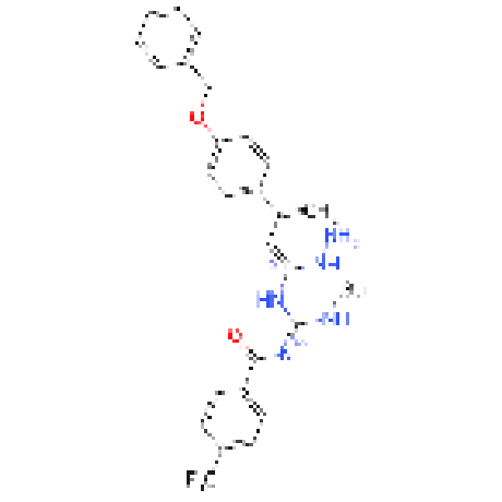 C=C(/C=C(\NN)N/C(=N\C(=O)c1ccc(C(F)(F)F)cc1)NC(C)(C)C)c1ccc(OCc2ccccc2)cc1